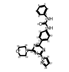 O=C(Nc1ccccc1)Nc1ccc(-c2nc(N3CCOCC3)nc(-n3cccn3)n2)cc1